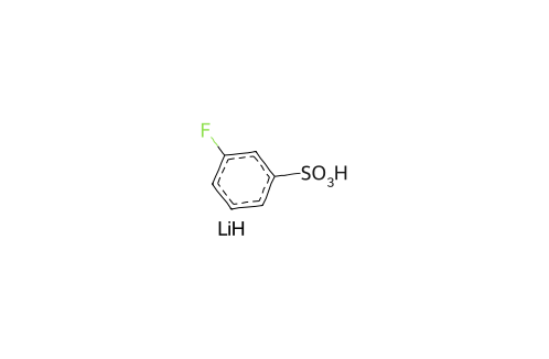 O=S(=O)(O)c1cccc(F)c1.[LiH]